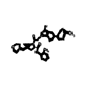 CC(=O)c1nn(CC(=O)N2C3CC3(CN3CCOCC3)C[C@H]2C(=O)Nc2ncccc2C)c2ccc(-c3cnc(C)nc3)cc12